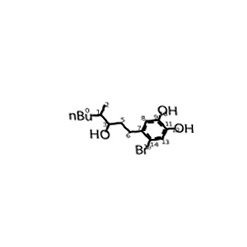 CCCCC(C)C(O)CCc1cc(O)c(O)cc1Br